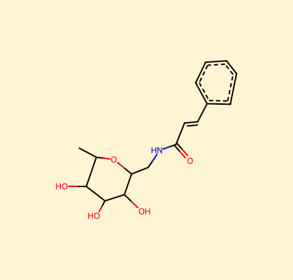 CC1OC(CNC(=O)/C=C/c2ccccc2)C(O)C(O)C1O